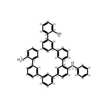 Nc1ccccc1-c1cccc(-c2cccc(-c3ccc(Nc4ccccc4)c(-c4cccc(-c5cccc(-c6ccccc6S)c5)c4)c3)c2)c1